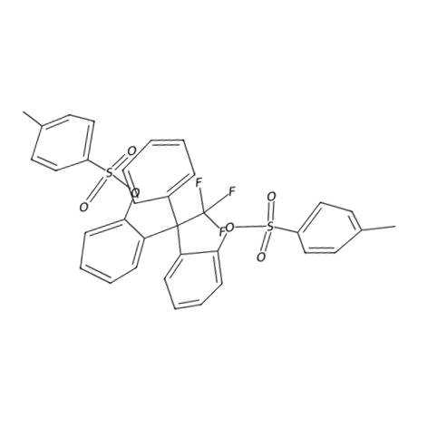 Cc1ccc(S(=O)(=O)Oc2ccccc2C(c2ccccc2)(c2ccccc2OS(=O)(=O)c2ccc(C)cc2)C(F)(F)F)cc1